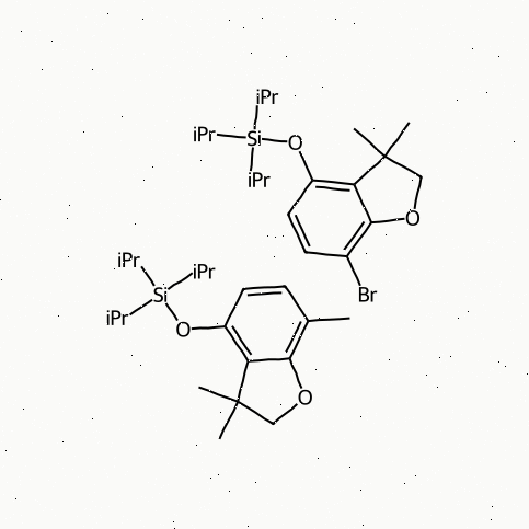 CC(C)[Si](Oc1ccc(Br)c2c1C(C)(C)CO2)(C(C)C)C(C)C.Cc1ccc(O[Si](C(C)C)(C(C)C)C(C)C)c2c1OCC2(C)C